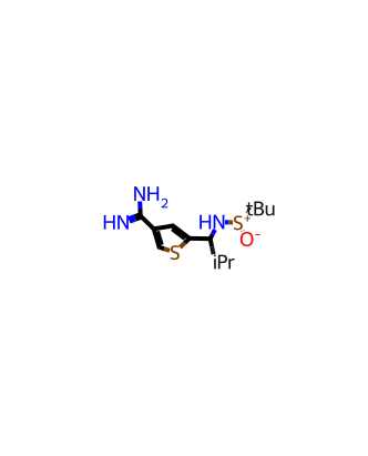 CC(C)C(N[S@@+]([O-])C(C)(C)C)c1cc(C(=N)N)cs1